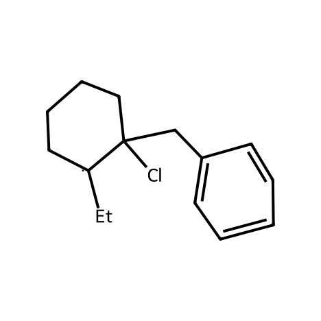 CC[C]1CCCCC1(Cl)Cc1ccccc1